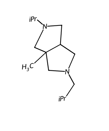 CC(C)CN1CC2CN(C(C)C)CC2(C)C1